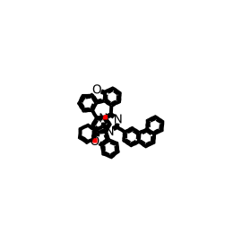 C1=CCCC(c2nc(-c3ccc4ccc5ccccc5c4c3)nc(-c3cccc4oc5cccc(-c6ccc7c(c6)oc6ccccc67)c5c34)n2)=C1